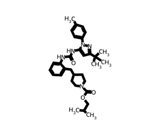 Cc1ccc(-n2nc(C(C)(C)C)cc2NC(=O)Nc2ccccc2CC2CCN(C(=O)OCC(C)C)CC2)cc1